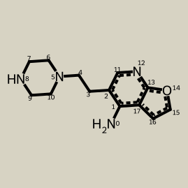 Nc1c(CCN2CCNCC2)cnc2occc12